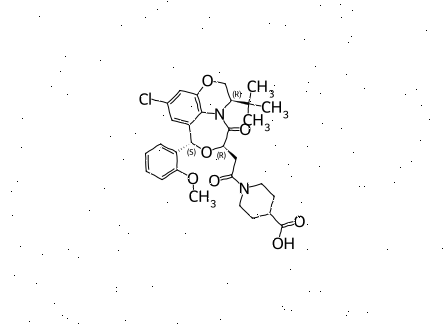 COc1ccccc1[C@H]1O[C@H](CC(=O)N2CCC(C(=O)O)CC2)C(=O)N2c3c(cc(Cl)cc31)OC[C@H]2C(C)(C)C